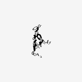 COCCOCCOCCOCCC(=O)[O-].COCC[N+]1(C)CCCCC1